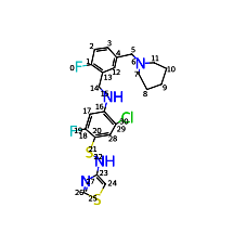 Fc1ccc(CN2CCCCC2)cc1CNc1cc(F)c(SNc2cscn2)cc1Cl